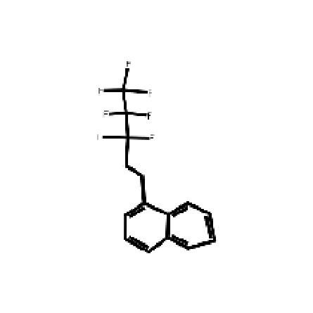 FC(F)(F)C(F)(F)C(F)(F)[CH]Cc1cccc2ccccc12